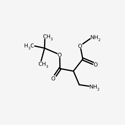 CC(C)(C)OC(=O)C(CN)C(=O)ON